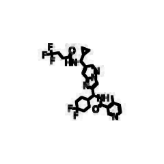 Cc1ccncc1C(=O)N[C@H](c1cn2ncc([C@H](NC(=O)CCC(F)(F)F)C3CC3)cc2n1)C1CCC(F)(F)CC1